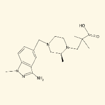 C[C@H]1CN(Cc2ccc3c(c2)c(N)nn3C)CCN1CC(C)(C)C(=O)O